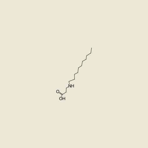 CCCCCCCCCCCNCCC(=O)O